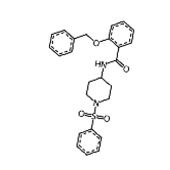 O=C(NC1CCN(S(=O)(=O)c2ccccc2)CC1)c1ccccc1OCc1ccccc1